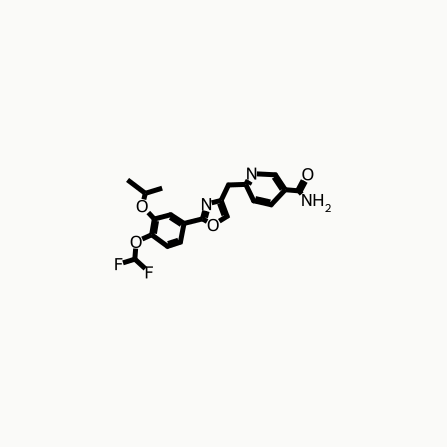 CC(C)Oc1cc(-c2nc(Cc3ccc(C(N)=O)cn3)co2)ccc1OC(F)F